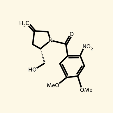 C=C1C[C@@H](CO)N(C(=O)c2cc(OC)c(OC)cc2[N+](=O)[O-])C1